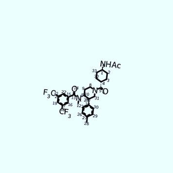 CC(=O)N[C@H]1CC[C@H](C(=O)N2CC[C@@H](N(C)C(=O)c3cc(C(F)(F)F)cc(C(F)(F)F)c3)[C@H](c3ccc(C)cc3)C2)CC1